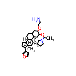 CC(OC1C[C@@]2(C)C(CC[C@@H]3[C@H]2CC[C@]2(C)C(c4ccoc4)CC[C@@H]32)CC1OCCN)N1CCCC1